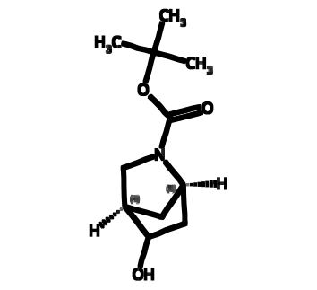 CC(C)(C)OC(=O)N1C[C@H]2C[C@@H]1CC2O